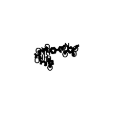 CCOc1cc2c(cc1OC)C(=O)N1C=C(c3ccc(NC(=O)[C@H](C)NC(=O)C(NC(=O)C(C)CC(C)N4C(=O)C=CC4=O)C(C)C)cc3)CC1C=N2